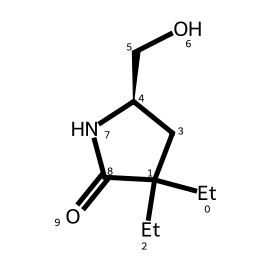 CCC1(CC)C[C@H](CO)NC1=O